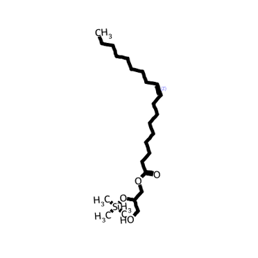 CCCCCCCC/C=C\CCCCCCCC(=O)OCC(CO)O[Si](C)(C)C